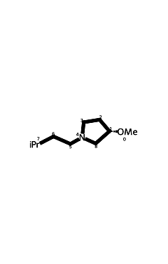 CO[C@H]1CCN(CCC(C)C)C1